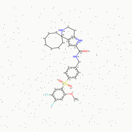 COc1cc(F)c(F)cc1S(=O)(=O)c1ccc(CNC(=O)c2cc3c([nH]2)CCNC32CCCCCCC2)cc1